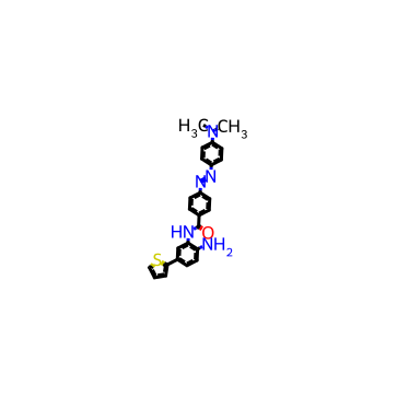 CN(C)c1ccc(/N=N/c2ccc(C(=O)Nc3cc(-c4cccs4)ccc3N)cc2)cc1